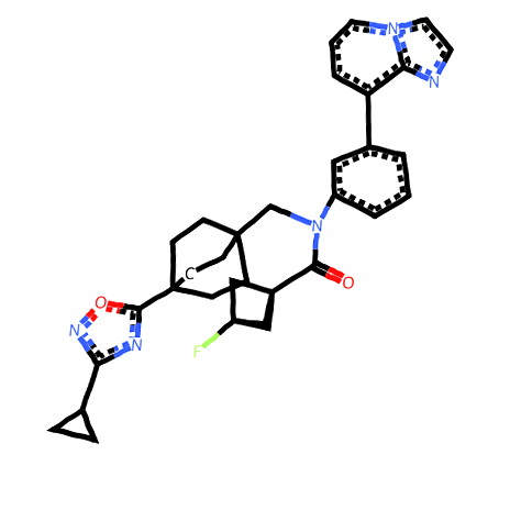 O=C(N(CC12CCC(c3nc(C4CC4)no3)(CC1)CC2)c1cccc(-c2cccn3ccnc23)c1)C12CC(F)(C1)C2